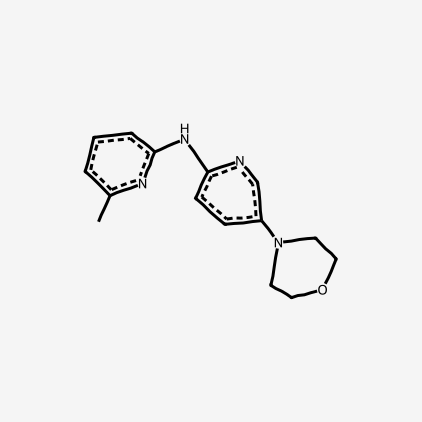 Cc1cccc(Nc2ccc(N3CCOCC3)cn2)n1